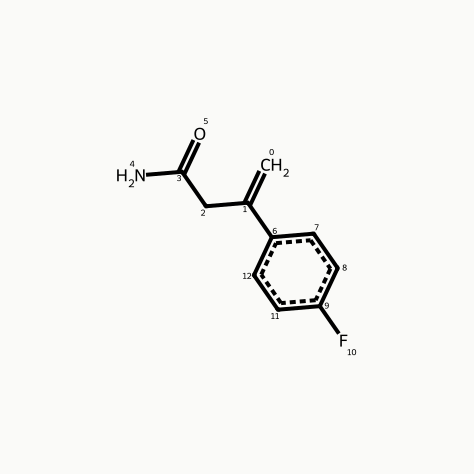 C=C(CC(N)=O)c1ccc(F)cc1